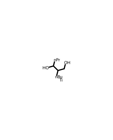 CCCCC(CO)C(O)CCC.[Ti]